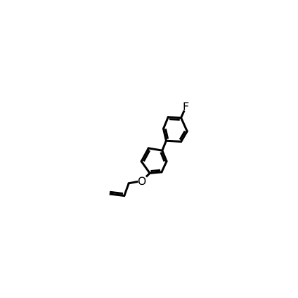 C=CCOc1ccc(-c2ccc(F)cc2)cc1